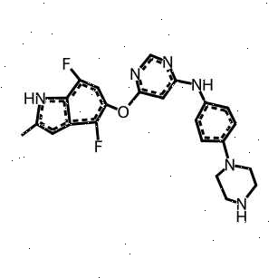 Cc1cc2c(F)c(Oc3cc(Nc4ccc(N5CCNCC5)cc4)ncn3)cc(F)c2[nH]1